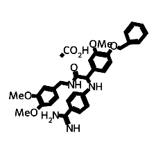 CC(=O)O.COc1ccc(CNC(=O)C(Nc2ccc(C(=N)N)cc2)c2ccc(OCc3ccccc3)c(OC)c2)cc1OC